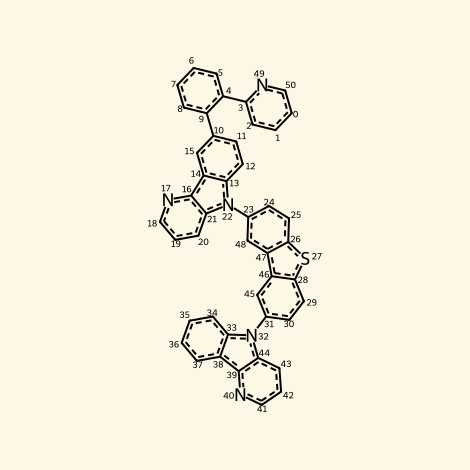 c1ccc(-c2ccccc2-c2ccc3c(c2)c2ncccc2n3-c2ccc3sc4ccc(-n5c6ccccc6c6ncccc65)cc4c3c2)nc1